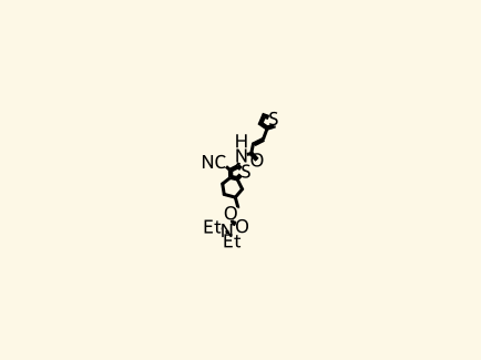 CCN(CC)C(=O)OCC1CCc2c(sc(NC(=O)C=Cc3ccsc3)c2C#N)C1